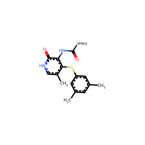 CCCCCCC(=O)Nc1c(Sc2cc(C)cc(C)c2)c(C)c[nH]c1=O